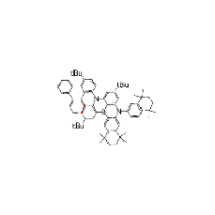 CC(C)(C)c1ccc2c(c1)B1c3cc4c(cc3N(c3ccc5c(c3)C(C)(C)CCC5(C)C)c3cc(C(C)(C)C)cc(c31)N2c1ccc(C(C)(C)C)cc1-c1ccccc1-c1ccccc1)C(C)(C)CCC4(C)C